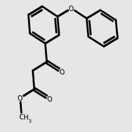 COC(=O)CC(=O)c1cccc(Oc2ccccc2)c1